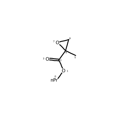 CCCOC(=O)C1(C)CO1